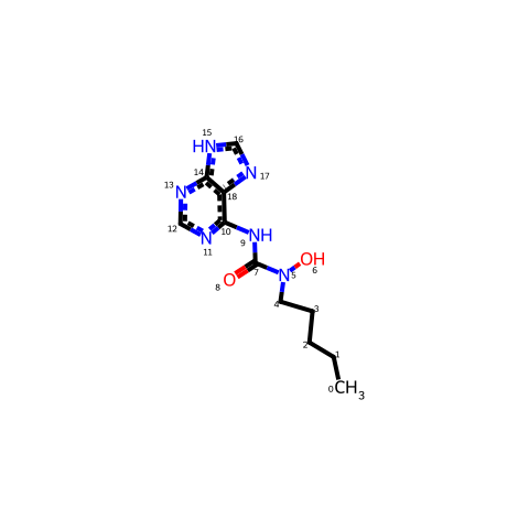 CCCCCN(O)C(=O)Nc1ncnc2[nH]cnc12